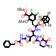 CCN1CCN(C(=O)NC(C(=O)N[C@@H](Cc2cc(F)c(F)c(C(=O)OC(C)(C)C)c2OC)B2O[C@@H]3C[C@@H]4C[C@@H](C4(C)C)[C@]3(C)O2)c2csc(NC(=O)OCc3ccccc3)n2)C(=O)C1=O